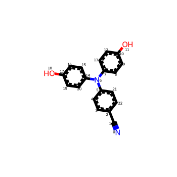 N#Cc1ccc(N(c2ccc(O)cc2)c2ccc(O)cc2)cc1